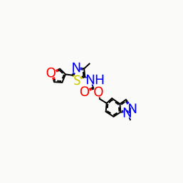 Cc1nc(-c2ccoc2)sc1NC(=O)OCc1ccc2c(cnn2C)c1